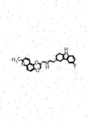 Cc1ccc2c3c(ccc2n1)OC[C@H](CNCC[C@H]1CCc2[nH]c4ccc(F)cc4c2C1)O3